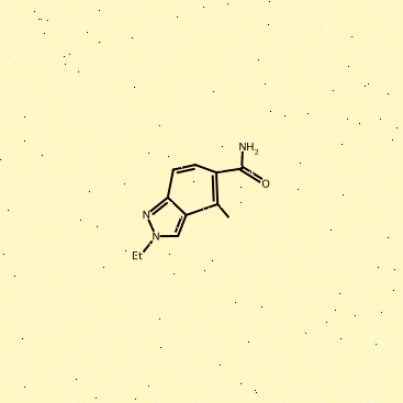 CCn1cc2c(C)c(C(N)=O)ccc2n1